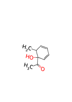 [CH2]C1C=CC=CC1(O)C(C)=O